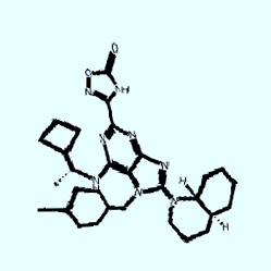 CC1CCC(Cn2c(N3CCC[C@@H]4CCCC[C@H]43)nc3nc(-c4noc(=O)[nH]4)nc(N[C@H](C)C4CCC4)c32)CC1